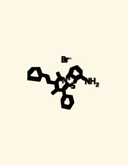 Cc1c(C=Cc2ccccc2)c(C)[n+]2c(sc3c(N)cccc32)c1-c1ccccc1.[Br-]